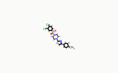 Cc1ccc(-c2csc(N3CCN(S(=O)(=O)c4ccc(Cl)c(Cl)c4)CC3)n2)cc1